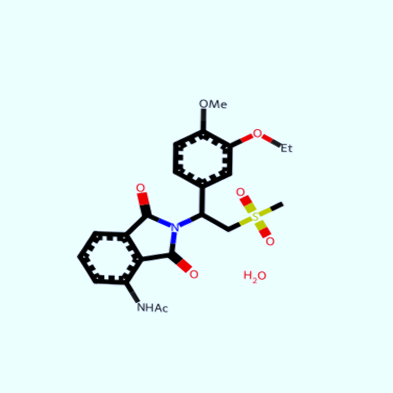 CCOc1cc(C(CS(C)(=O)=O)N2C(=O)c3cccc(NC(C)=O)c3C2=O)ccc1OC.O